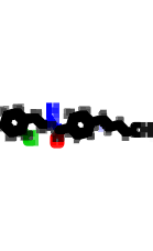 CCC/C=C/c1ccc(C(=O)NCCc2ccccc2Cl)cc1